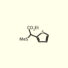 CCOC(=O)C(SC)c1cccs1